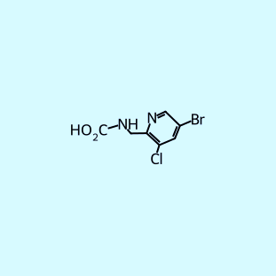 O=C(O)NCc1ncc(Br)cc1Cl